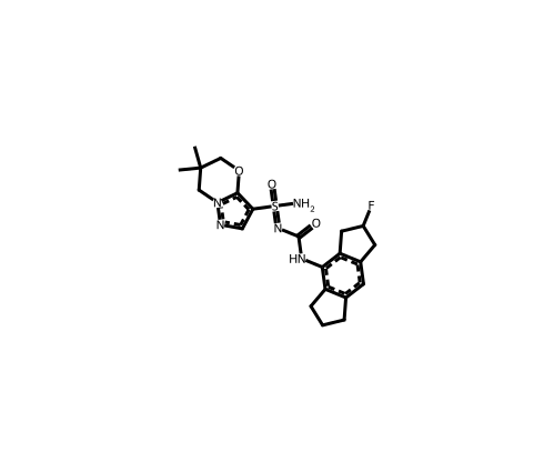 CC1(C)COc2c(S(N)(=O)=NC(=O)Nc3c4c(cc5c3CC(F)C5)CCC4)cnn2C1